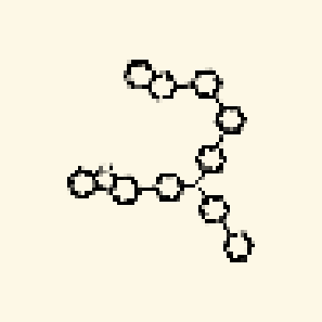 c1ccc(-c2ccc(N(c3ccc(-c4cccc(-c5cccc(-c6ccc7ccccc7c6)c5)c4)cc3)c3ccc(-c4ccc5c(c4)oc4ccccc45)cc3)cc2)cc1